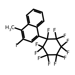 Cc1c(I)cc(C2(F)C(F)(F)C(F)(F)C(F)(F)C(F)(F)C2(F)F)c2ccccc12